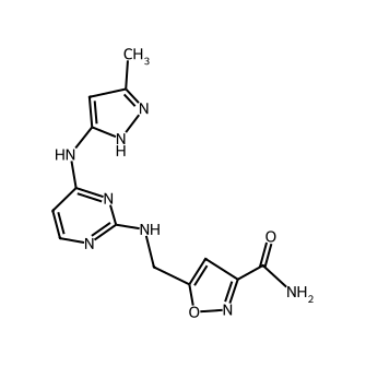 Cc1cc(Nc2ccnc(NCc3cc(C(N)=O)no3)n2)[nH]n1